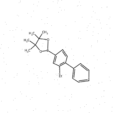 CCc1cc(B2OC(C)(C)C(C)(C)O2)ccc1-c1ccccc1